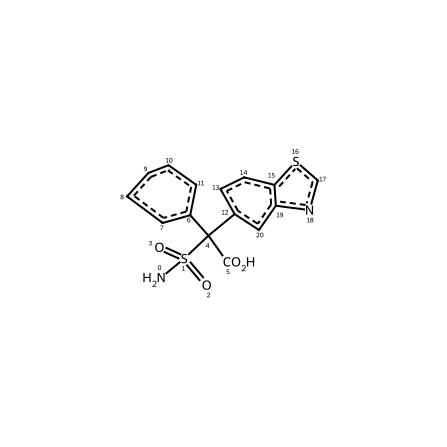 NS(=O)(=O)C(C(=O)O)(c1ccccc1)c1ccc2scnc2c1